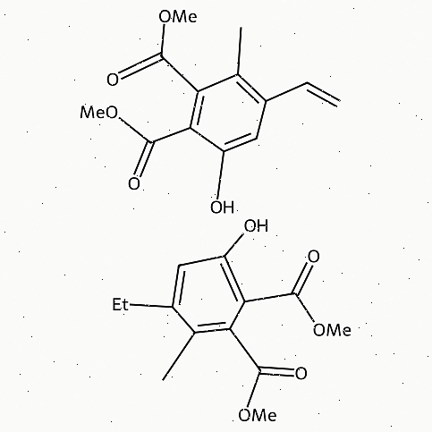 C=Cc1cc(O)c(C(=O)OC)c(C(=O)OC)c1C.CCc1cc(O)c(C(=O)OC)c(C(=O)OC)c1C